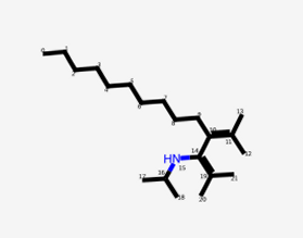 CCCCCCCCCCC(=C(C)C)C(NC(C)C)=C(C)C